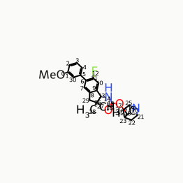 COc1cccc(-c2cc3c(cc2F)[C@H](NC(=O)O[C@H]2CN4CCC2CC4)C(C)(C)C3)c1